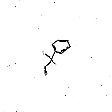 FCC(F)(F)c1cc[c]cc1